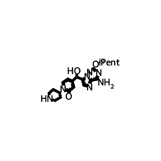 CCC[C@H](C)Oc1nc(N)c2ncc(C(O)c3ccn(C4CCNCC4)c(=O)c3)n2n1